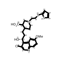 COc1ccc2ncc(Cl)c([C@H](O)CCC3CCN(CCSc4cccs4)CC3C(=O)O)c2c1